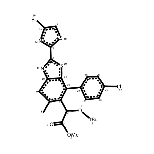 COC(=O)C(OC(C)(C)C)c1c(C)cc2nc(-c3nc(Br)cs3)sc2c1-c1ccc(Cl)cc1